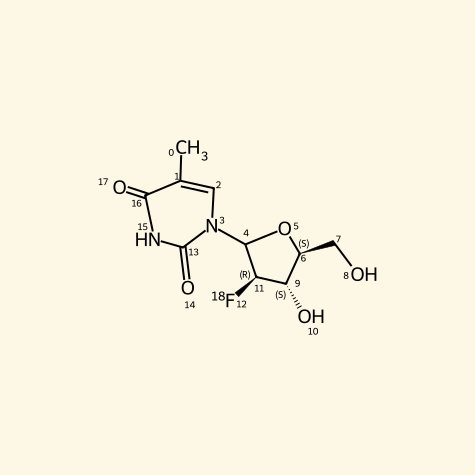 Cc1cn(C2O[C@@H](CO)[C@H](O)[C@H]2[18F])c(=O)[nH]c1=O